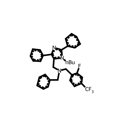 CCCCn1c(-c2ccccc2)nc(-c2ccccc2)c1CN(Cc1ccccc1)Cc1ccc(C(F)(F)F)cc1F